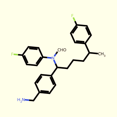 CC(CCCC(c1ccc(CN)cc1)N(C=O)c1ccc(F)cc1)c1ccc(F)cc1